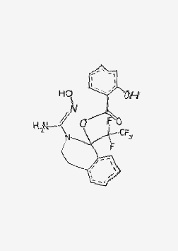 NC(=NO)N1CCc2ccccc2C1(OC(=O)c1ccccc1O)C(F)(F)C(F)(F)F